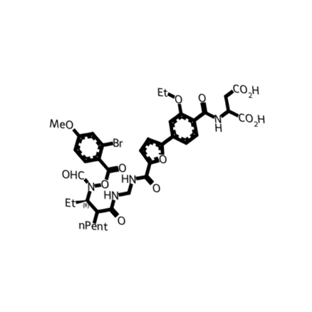 CCCCCC(C(=O)NCNC(=O)c1ccc(-c2ccc(C(=O)NC(CC(=O)O)C(=O)O)c(OCC)c2)o1)[C@@H](CC)N(C=O)OC(=O)c1ccc(OC)cc1Br